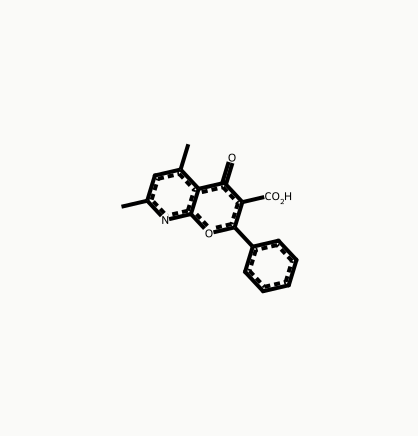 Cc1cc(C)c2c(=O)c(C(=O)O)c(-c3ccccc3)oc2n1